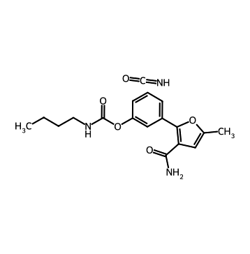 CCCCNC(=O)Oc1cccc(-c2oc(C)cc2C(N)=O)c1.N=C=O